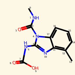 CNC(=O)n1c(NC(=O)O)nc2c(C)cccc21